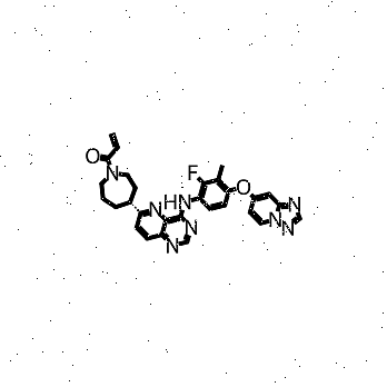 C=CC(=O)N1CCC[C@@H](c2ccc3ncnc(Nc4ccc(Oc5ccn6ncnc6c5)c(C)c4F)c3n2)CC1